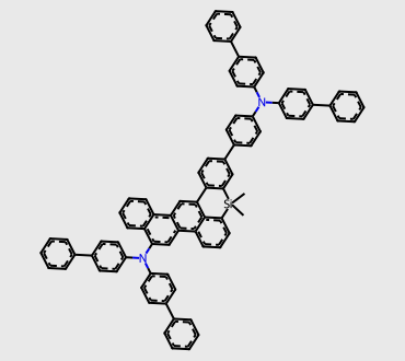 C[Si]1(C)c2cc(-c3ccc(N(c4ccc(-c5ccccc5)cc4)c4ccc(-c5ccccc5)cc4)cc3)ccc2-c2cc3c4ccccc4c(N(c4ccc(-c5ccccc5)cc4)c4ccc(-c5ccccc5)cc4)cc3c3cccc1c23